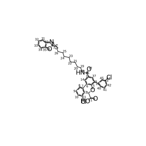 O=C(O)COc1c(-c2cccc(Cl)c2)cc(C(=O)NCCCCCCCCSc2nc3ccccc3o2)cc1-c1cccc(Cl)c1